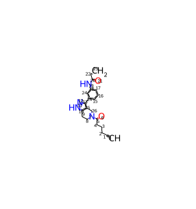 C#CCCCC(=O)N1CCc2[nH]nc(-c3cccc(NC(=O)C=C)c3)c2C1